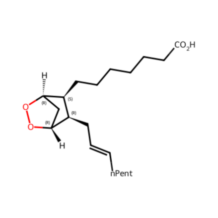 CCCCCC=CC[C@@H]1[C@H](CCCCCCC(=O)O)[C@H]2C[C@H]1OO2